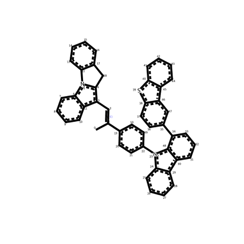 C/C(=C\c1c2n(c3ccccc13)-c1ccccc1C2)c1ccc(-n2c3ccccc3c3cccc(-c4ccc5sc6ccccc6c5c4)c32)cc1